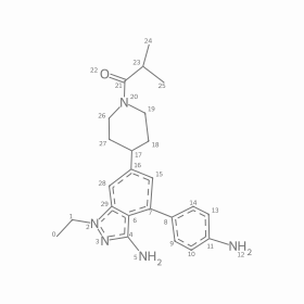 CCn1nc(N)c2c(-c3ccc(N)cc3)cc(C3CCN(C(=O)C(C)C)CC3)cc21